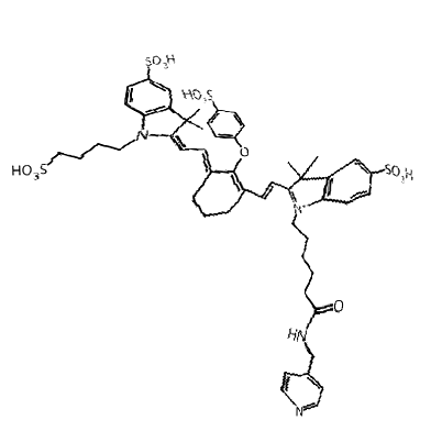 CC1(C)C(/C=C/C2=C(Oc3ccc(S(=O)(=O)O)cc3)C(=C/C=C3/N(CCCCS(=O)(=O)O)c4ccc(S(=O)(=O)O)cc4C3(C)C)/CCC2)=[N+](CCCCCC(=O)NCc2ccncc2)c2ccc(S(=O)(=O)O)cc21